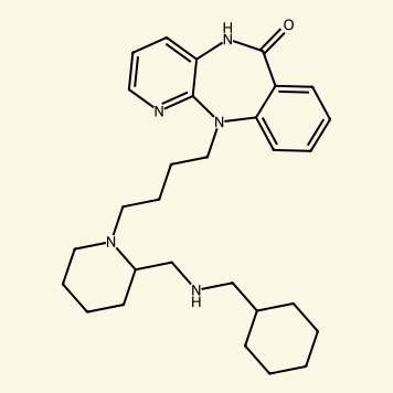 O=C1Nc2cccnc2N(CCCCN2CCCCC2CNCC2CCCCC2)c2ccccc21